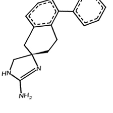 NC1=N[C@]2(CCc3c(cccc3-c3cccnc3)C2)CN1